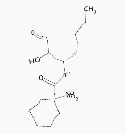 CCCC[C@H](NC(=O)C1(N)CCCCC1)C(O)C=O